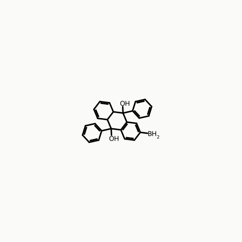 Bc1ccc2c(c1)C(O)(c1ccccc1)C1C=CC=CC1C2(O)c1ccccc1